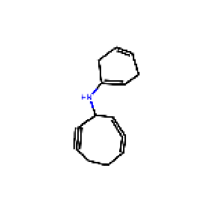 C1=CCCC#CC(NC2=CCC=CC2)C=1